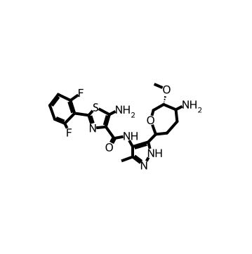 CO[C@H]1COC(c2[nH]nc(C)c2NC(=O)c2nc(-c3c(F)cccc3F)sc2N)CCC1N